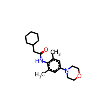 Cc1cc(N2CCOCC2)cc(C)c1NC(=O)CC1CCCCC1